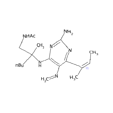 C=Nc1c(NC(C)(CCCC)CNC(C)=O)nc(N)nc1/C(C)=C\C